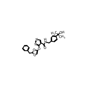 CC(C)(O)c1ccc(CNC(=O)c2cncnc2OC2=COC(Cc3ccccc3)O2)cc1